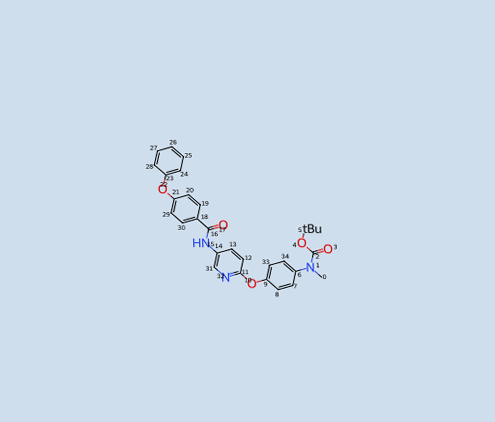 CN(C(=O)OC(C)(C)C)c1ccc(Oc2ccc(NC(=O)c3ccc(Oc4ccccc4)cc3)cn2)cc1